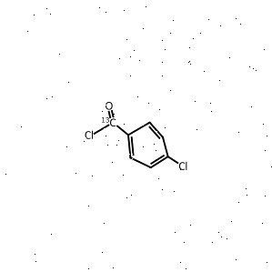 O=[13C](Cl)c1ccc(Cl)cc1